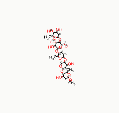 CO[C@H]1C[C@@H](O)[C@H](O[C@H]2C[C@@H](O)[C@H](O[C@@H]3CC[C@H](O[C@@H]4O[C@@H](C=O)[C@@H](O[C@@H]5C[C@@H](O)[C@H](O)C(C)O5)[C@H](O)C4O)C(C)O3)CO2)C(C)O1